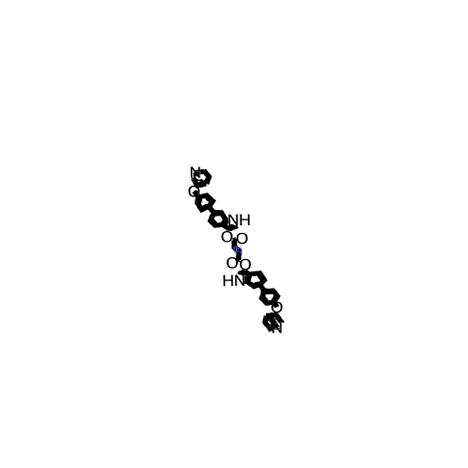 O=C(/C=C/C(=O)Oc1c[nH]c2cc(-c3ccc(OC4CN5CCC4CC5)cc3)ccc12)Oc1c[nH]c2cc(-c3ccc(OC4CN5CCC4CC5)cc3)ccc12